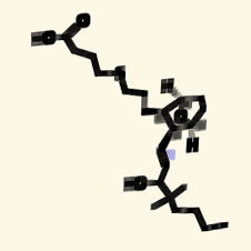 CCCCC(C)(C)C(O)/C=C/[C@H]1[C@@H](CCCSCCCC(=O)O)[C@H]2CC[C@@H]1O2